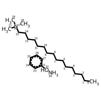 CCCCCCCCCCCCCCCC[N+](C)(C)C.N.Oc1ccccc1